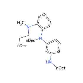 CCCCCCCCCCCCN(C)c1ccccc1N(CCCCCCCCCC)c1cccc(NCCCCCCCC)c1